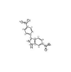 O=[N+]([O-])c1ccc(-c2n[nH]c3cc([N+](=O)[O-])ccc23)cc1